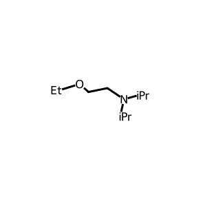 CCOCCN(C(C)C)C(C)C